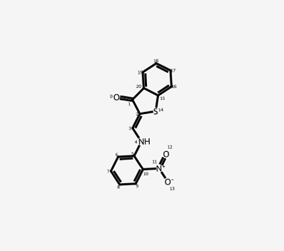 O=C1C(=CNc2ccccc2[N+](=O)[O-])Sc2ccccc21